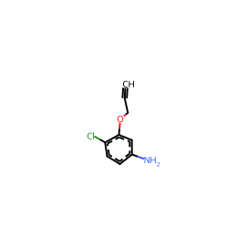 C#CCOc1cc(N)ccc1Cl